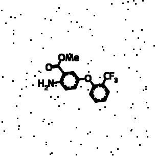 COC(=O)c1cc(Oc2ccccc2C(F)(F)F)ccc1N